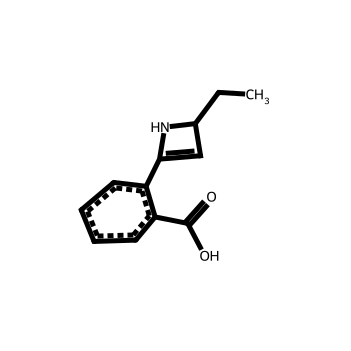 CCC1C=C(c2ccccc2C(=O)O)N1